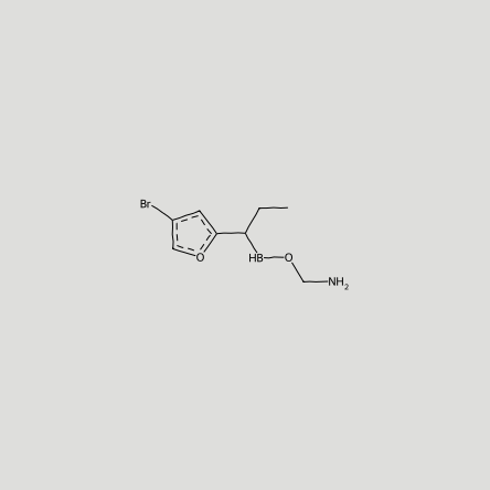 CCC(BOCN)c1cc(Br)co1